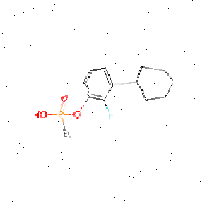 CCP(=O)(O)Oc1cccc(C2CCCCC2)c1F